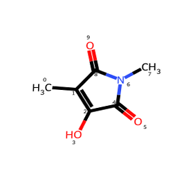 CC1=C(O)C(=O)N(C)C1=O